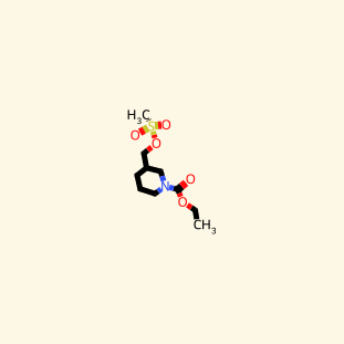 CCOC(=O)N1CCCC(COS(C)(=O)=O)C1